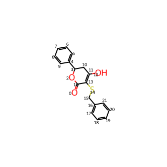 O=C1OC(c2ccccc2)CC(O)=C1SCc1ccccc1